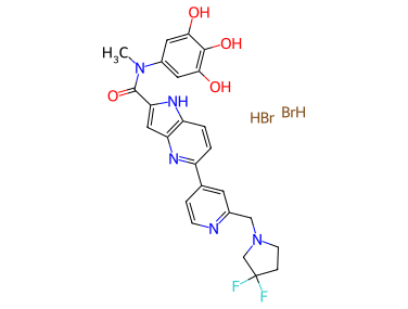 Br.Br.CN(C(=O)c1cc2nc(-c3ccnc(CN4CCC(F)(F)C4)c3)ccc2[nH]1)c1cc(O)c(O)c(O)c1